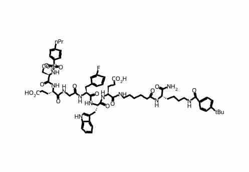 CCCc1ccc(S(=O)(=O)N[C@H](CC(=O)O)C(=O)N[C@@H](CCC(=O)O)C(=O)NCC(=O)N[C@@H](Cc2cccc(F)c2)C(=O)N[C@@H](Cc2c[nH]c3ccccc23)C(=O)N[C@@H](CCC(=O)O)C(=O)NCCCCCC(=O)N[C@@H](CCCCNC(=O)c2ccc(C(C)(C)C)cc2)C(N)=O)cc1